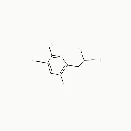 COc1cc(C(F)(F)F)c(OC)nc1CC(C)N